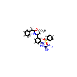 CCC(C(=O)NC(CC(=O)O)c1cccc(N(NC(=N)N)S(=O)(=O)c2ccccc2)c1)c1ccccc1